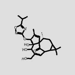 CC1=CC23C(=O)C(C=C(CO)C(O)C2(O)C1Oc1noc(C(C)C)n1)C1C(C[C@H]3C)C1(C)C